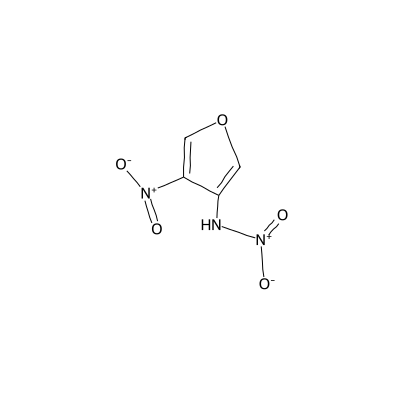 O=[N+]([O-])Nc1cocc1[N+](=O)[O-]